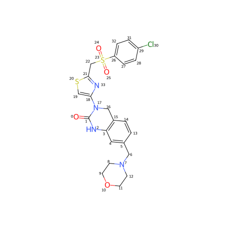 O=C1Nc2cc(CN3CCOCC3)ccc2CN1c1csc(CS(=O)(=O)c2ccc(Cl)cc2)n1